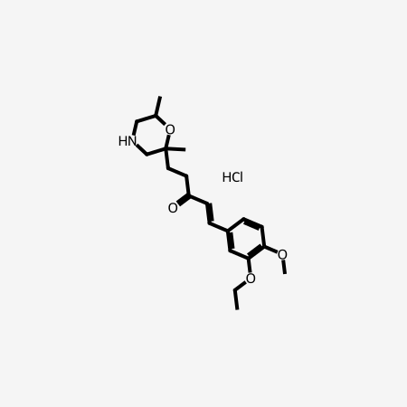 CCOc1cc(C=CC(=O)CCC2(C)CNCC(C)O2)ccc1OC.Cl